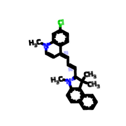 CN1C=C/C(=C\C=C\C2=[N+](C)c3ccc4ccccc4c3C2(C)C)c2ccc(Cl)cc21